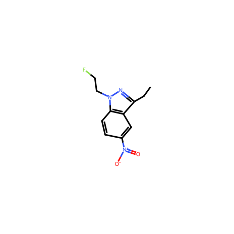 CCc1nn(CCF)c2ccc([N+](=O)[O-])cc12